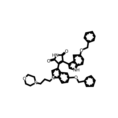 O=C1NC(=O)C(c2cn(CCCN3CCOCC3)c3ccc(OCc4ccccc4)cc23)=C1c1c[nH]c2ccc(OCc3ccccc3)cc12